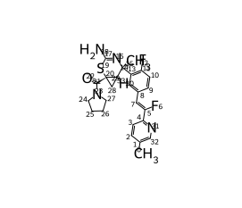 Cc1ccc(/C(F)=C/c2ccc(F)c([C@@]3(C)N=C(N)S[C@@]4(C(=O)N5CCCC5)C[C@H]43)c2)nc1